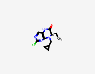 CC[C@@H]1C(=O)Nc2cnc(Cl)nc2N1CC1CC1